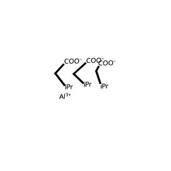 CC(C)CC(=O)[O-].CC(C)CC(=O)[O-].CC(C)CC(=O)[O-].[Al+3]